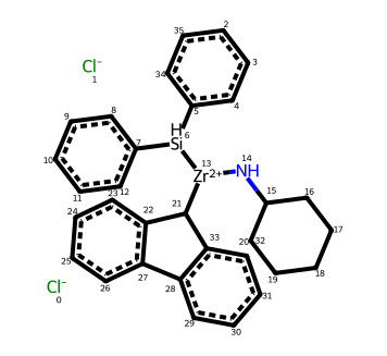 [Cl-].[Cl-].c1ccc([SiH](c2ccccc2)[Zr+2]([NH]C2CCCCC2)[CH]2c3ccccc3-c3ccccc32)cc1